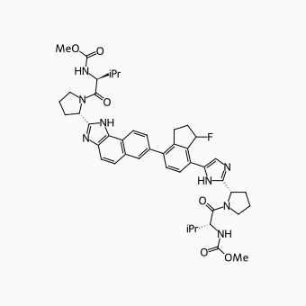 COC(=O)N[C@H](C(=O)N1CCC[C@H]1c1nc2ccc3cc(-c4ccc(-c5cnc([C@@H]6CCCN6C(=O)[C@H](NC(=O)OC)C(C)C)[nH]5)c5c4CCC5F)ccc3c2[nH]1)C(C)C